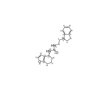 O=C(NCCN1CCc2ccccc21)N[C@H]1CCCc2occc21